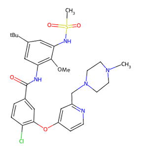 COc1c(NC(=O)c2ccc(Cl)c(Oc3ccnc(CN4CCN(C)CC4)c3)c2)cc(C(C)(C)C)cc1NS(C)(=O)=O